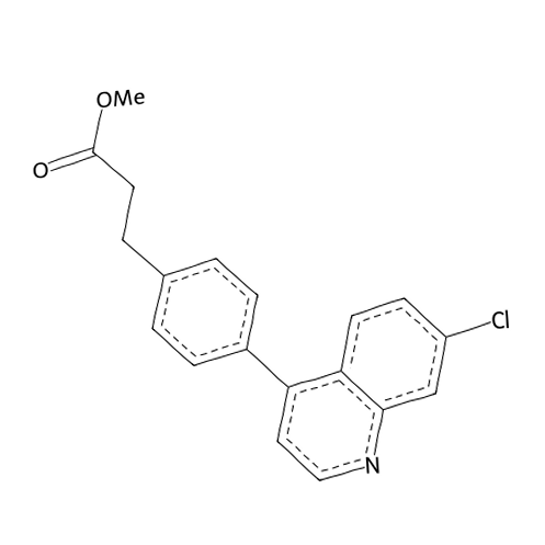 COC(=O)CCc1ccc(-c2ccnc3cc(Cl)ccc23)cc1